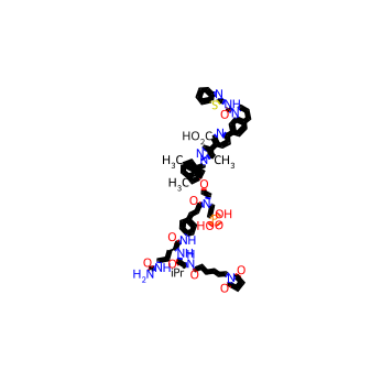 Cc1c(-c2ccc(-c3ccc4c(c3)N(C(=O)Nc3nc5ccccc5s3)CCC4)nc2C(=O)O)cnn1CC12CC3(C)CC(C)(C1)CC(OCCN(CCP(=O)(O)O)C(=O)CCc1ccc(NC(=O)[C@H](CCCNC(N)=O)NC(=O)[C@@H](NC(=O)CCCCCN4C(=O)C=CC4=O)C(C)C)cc1)(C3)C2